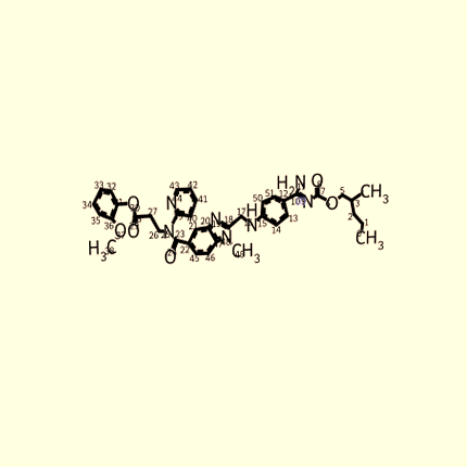 CCCC(C)COC(=O)/N=C(\N)c1ccc(NCc2nc3cc(C(=O)N(CCC(=O)Oc4ccccc4OC)c4ccccn4)ccc3n2C)cc1